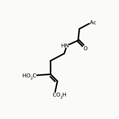 CC(=O)CC(=O)NCC/C(=C/C(=O)O)C(=O)O